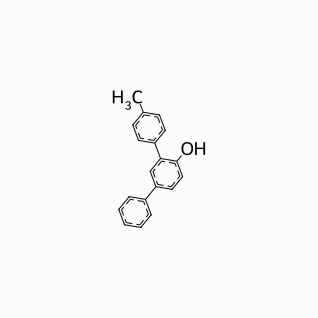 Cc1ccc(-c2cc(-c3ccccc3)ccc2O)cc1